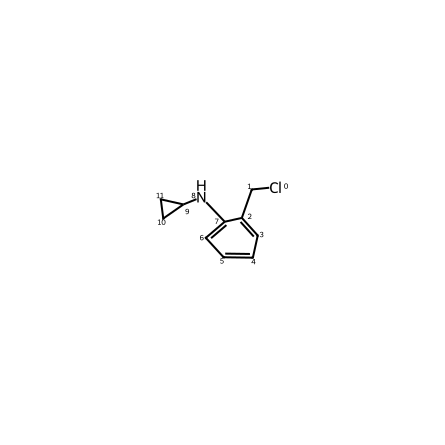 ClCc1ccccc1NC1CC1